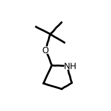 CC(C)(C)OC1CCCN1